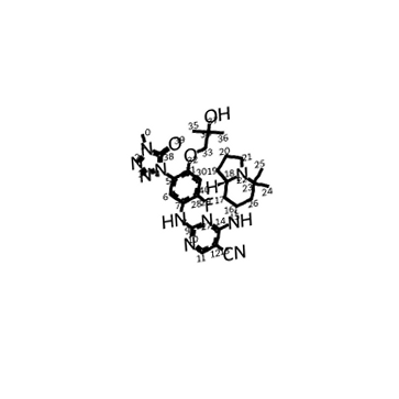 Cn1nnn(-c2cc(Nc3ncc(C#N)c(N[C@@H]4C[C@@H]5CCCN5C(C)(C)C4)n3)c(F)cc2OCC(C)(C)O)c1=O